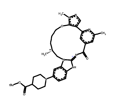 Cc1cc2cc(n1)-c1cnn(C)c1OCCC[C@@H](C)CN1/C(=N/C2=O)Nc2ccc(N3CCC(C(=O)OC(C)(C)C)CC3)cc21